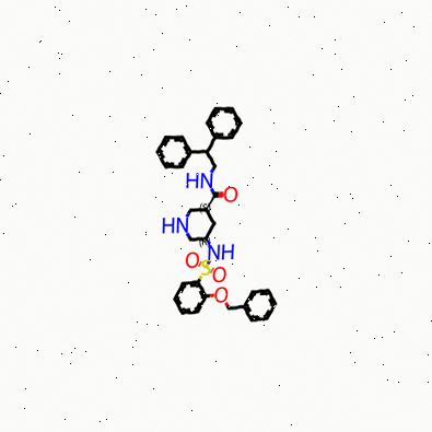 O=C(NCC(c1ccccc1)c1ccccc1)[C@@H]1CNC[C@H](NS(=O)(=O)c2ccccc2OCc2ccccc2)C1